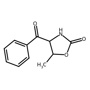 CC1OC(=O)NC1C(=O)c1ccccc1